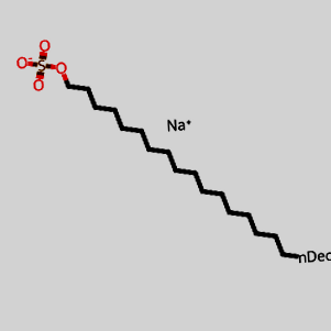 CCCCCCCCCCCCCCCCCCCCCCCCCCCOS(=O)(=O)[O-].[Na+]